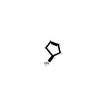 N=C1CC=CC1